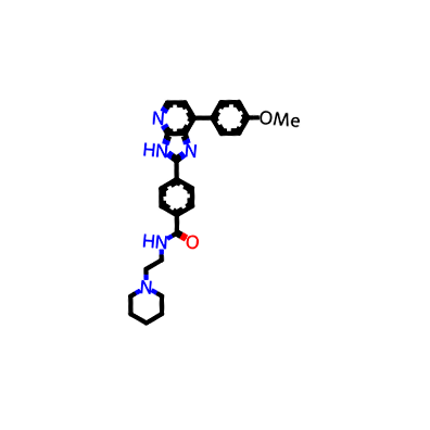 COc1ccc(-c2ccnc3[nH]c(-c4ccc(C(=O)NCCN5CCCCC5)cc4)nc23)cc1